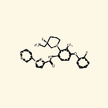 NC[C@]1(F)CCCN(c2c(NC(=O)c3ccn(-c4ccnnc4)n3)ccc(Oc3ccccc3F)c2C(F)(F)F)C1